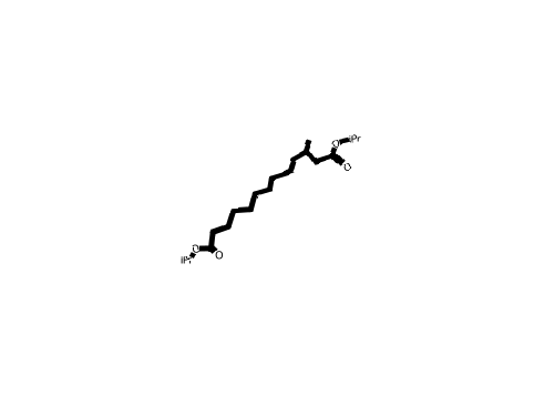 CC(CCCCCCCCCC(=O)OC(C)C)CC(=O)OC(C)C